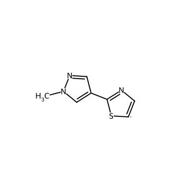 Cn1cc(-c2nc[c]s2)cn1